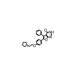 O=c1[nH]cnc2oc(-c3ccc(OCCN4CCCC4)cc3)c(-c3ccccc3)c12